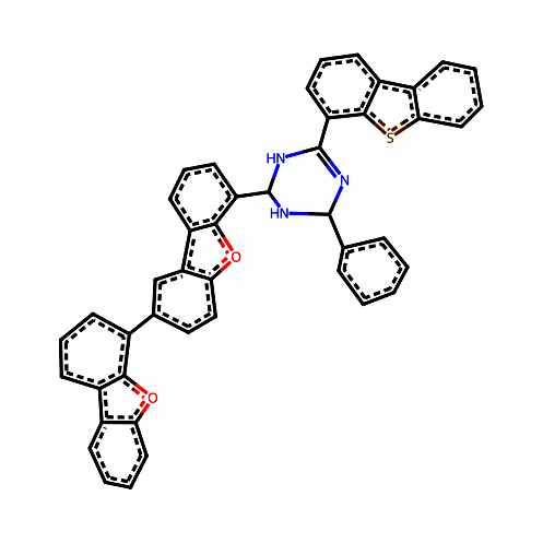 c1ccc(C2N=C(c3cccc4c3sc3ccccc34)NC(c3cccc4c3oc3ccc(-c5cccc6c5oc5ccccc56)cc34)N2)cc1